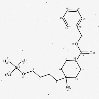 [C-]#[N+]C1(CCCCO[Si](C)(C)C(C)(C)C)CCN(C(=O)OCc2ccccc2)CC1